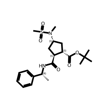 C[C@@H](NC(=O)[C@H]1C[C@H](N(C)S(C)(=O)=O)C[C@@H]1C(=O)OC(C)(C)C)c1ccccc1